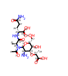 CC(=O)N(C1O[C@H](CO)[C@@H](O)[C@H](O[C@H](C)C(=O)O)[C@H]1N)[C@@H](C)C(=O)N[C@H](CCC(N)=O)C(=O)O